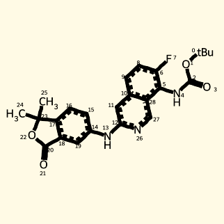 CC(C)(C)OC(=O)Nc1c(F)ccc2cc(Nc3ccc4c(c3)C(=O)OC4(C)C)ncc12